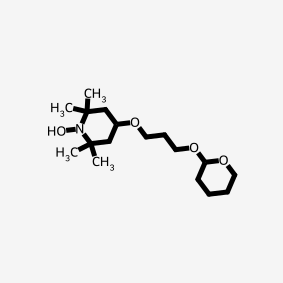 CC1(C)CC(OCCCOC2CCCCO2)CC(C)(C)N1O